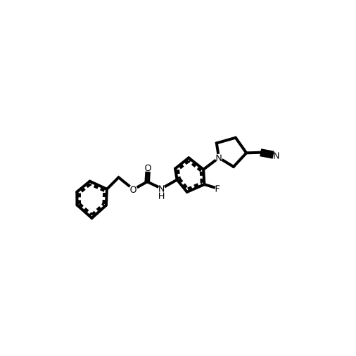 N#CC1CCN(c2ccc(NC(=O)OCc3ccccc3)cc2F)C1